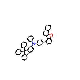 c1ccc(N(c2ccc(-c3cccc4oc5c6ccccc6ccc5c34)cc2)c2ccc3c(c2)C(c2ccccc2)(c2ccccc2)c2ccccc2-3)cc1